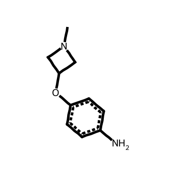 CN1CC(Oc2ccc(N)cc2)C1